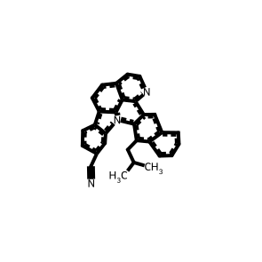 CC(C)Cc1c2ccccc2cc2c3nccc4ccc5c6ccc(C#N)cc6n(c12)c5c43